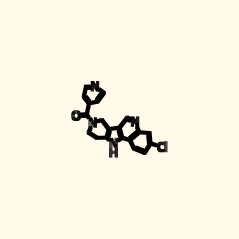 O=C(c1ccncc1)N1CCc2[nH]c3c(cnc4cc(Cl)ccc43)c2C1